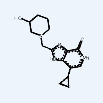 CC1CCCN(Cc2nc3c(=O)[nH]cc(C4CC4)c3[nH]2)C1